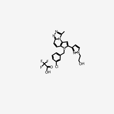 Cc1nnc2ccc3c(cc(-c4ccn(CCO)n4)n3Cc3cccc(Cl)c3)n12.O=C(O)C(F)(F)F